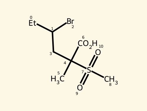 CCC(Br)CC(C)(C(=O)O)S(C)(=O)=O